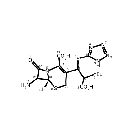 CCCCC(C(=O)O)C(Sc1nnn[nH]1)C1=C(C(=O)O)N2C(=O)C(N)[C@H]2SC1